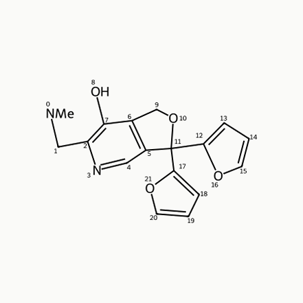 CNCc1ncc2c(c1O)COC2(c1ccco1)c1ccco1